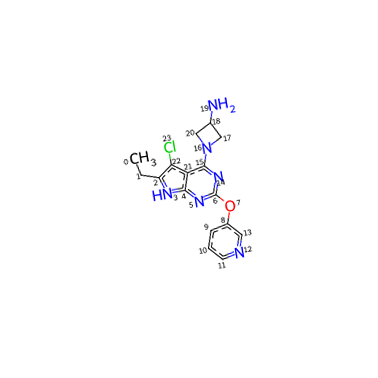 CCc1[nH]c2nc(Oc3cccnc3)nc(N3CC(N)C3)c2c1Cl